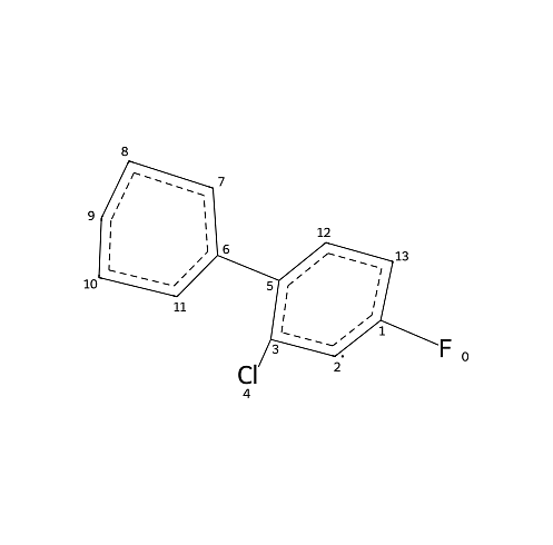 Fc1[c]c(Cl)c(-c2ccccc2)cc1